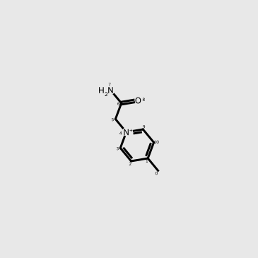 Cc1cc[n+](CC(N)=O)cc1